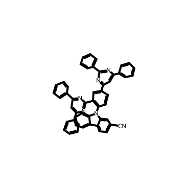 N#Cc1ccc2c3ccccc3n(-c3ccc(-c4cc(-c5ccccc5)nc(-c5ccccc5)n4)cc3-c3nc(-c4ccccc4)cc(-c4ccccc4)n3)c2c1